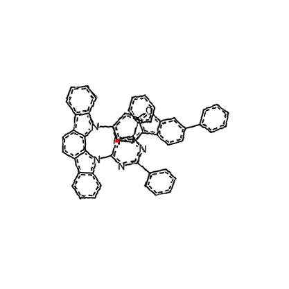 c1ccc(-c2ccc3c(c2)oc2cc(-n4c5ccccc5c5ccc6c7ccccc7n(-c7nc(-c8ccccc8)nc(-c8ccccc8)n7)c6c54)ccc23)cc1